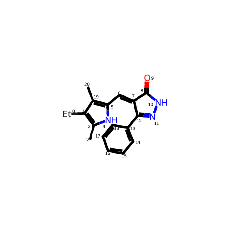 CCc1c(C)[nH]c(/C=C2/C(=O)NN=C2c2ccccc2)c1C